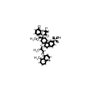 COC(=O)C1(N(C(=O)C(F)(F)F)c2cccc(Cl)c2)CCC2(CC1)c1cc(S(=O)(=O)O)ccc1C[C@@H]2C[C@@H](C)COc1ccnc2c1[C@H](C)CCC2